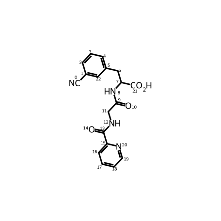 N#Cc1cccc(CC(NC(=O)CNC(=O)c2ccccn2)C(=O)O)c1